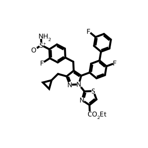 CCOC(=O)c1csc(-n2nc(CC3CC3)c(Cc3ccc([S+](N)[O-])c(F)c3)c2-c2ccc(F)c(-c3cccc(F)c3)c2)n1